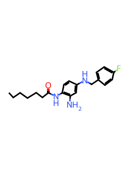 CCCCCCC(=O)Nc1ccc(NCc2ccc(F)cc2)cc1N